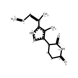 C=N/C=C(/C)c1[nH]nc(C2CCC(=O)NC2=O)c1C